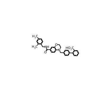 Cc1ccc(CNC(=O)c2ccc3c(c2)OCCN3Cc2ccc(-c3ccccc3C(=O)O)cc2)c(C)c1